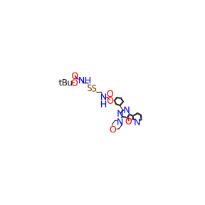 CC(C)(C)OC(=O)NCCSSCCNC(=O)Oc1cccc(-c2nc(N3CCOCC3)c3oc4ncccc4c3n2)c1